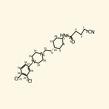 N#CCCCC(=O)N[C@H]1CC[C@H](CCN2CCN(c3ccc(Cl)c(Cl)c3)CC2)CC1